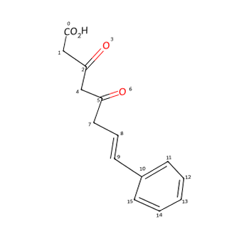 O=C(O)CC(=O)CC(=O)CC=Cc1ccccc1